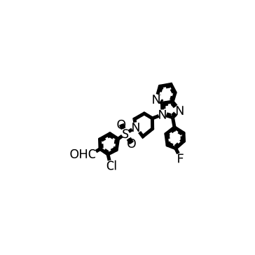 O=Cc1ccc(S(=O)(=O)N2CCC(n3c(-c4ccc(F)cc4)nc4cccnc43)CC2)cc1Cl